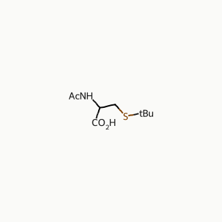 CC(=O)NC(CSC(C)(C)C)C(=O)O